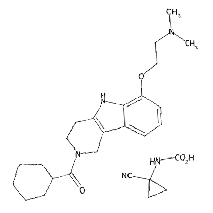 CN(C)CCOc1cccc2c3c([nH]c12)CCN(C(=O)C1CCCCC1)C3.N#CC1(NC(=O)O)CC1